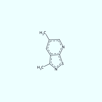 Cc1cnc2snc(C)c2c1